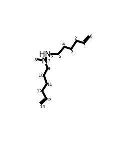 C=CCCCCNN(C)CCCCC=C